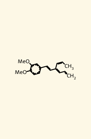 C=C/C=C(\C=C/C)/C=C/c1ccc(OC)c(OC)c1